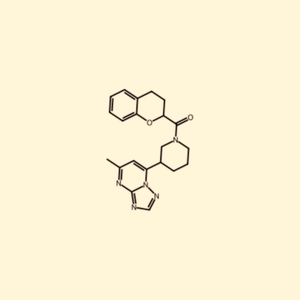 Cc1cc(C2CCCN(C(=O)C3CCc4ccccc4O3)C2)n2ncnc2n1